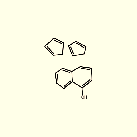 C1=CCC=C1.C1=CCC=C1.Oc1cccc2ccccc12